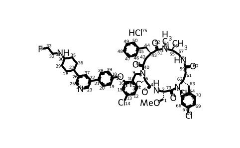 COC[C@@H]1NC(=O)[C@H](C)N(Cc2ccc(Cl)cc2Oc2ccc(-c3cncc(C4CCC(NCCF)CC4)c3)cc2)C(=O)C[C@@H](Cc2ccccc2)C(=O)N(C)[C@@H](C)CNC(=O)C[C@H](Cc2ccc(Cl)cc2)N(C)C1=O.Cl